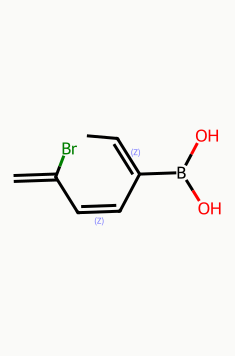 C=C(Br)/C=C\C(=C/C)B(O)O